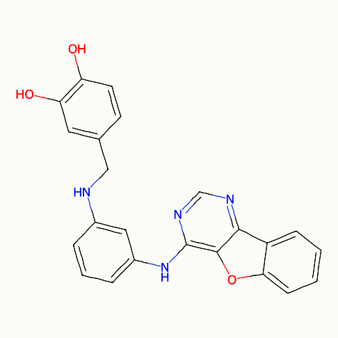 Oc1ccc(CNc2cccc(Nc3ncnc4c3oc3ccccc34)c2)cc1O